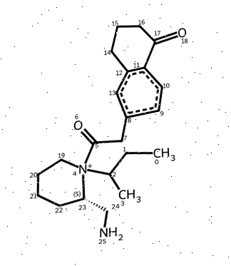 CCC(C)[N+]1(C(=O)Cc2ccc3c(c2)CCCC3=O)CCCC[C@H]1CN